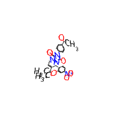 CC(=O)c1ccc(-n2c(=O)n3n(c2=O)C2C(=CC3)C(C)(C)Oc3cc([N+](=O)[O-])ccc32)cc1